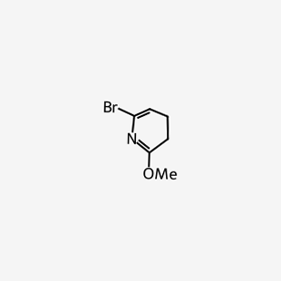 COC1=NC(Br)=CCC1